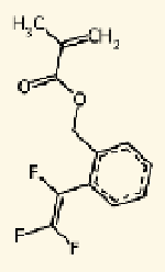 C=C(C)C(=O)OCc1ccccc1C(F)=C(F)F